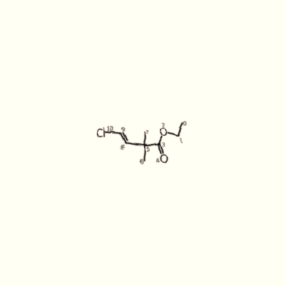 CCOC(=O)C(C)(C)C=CCl